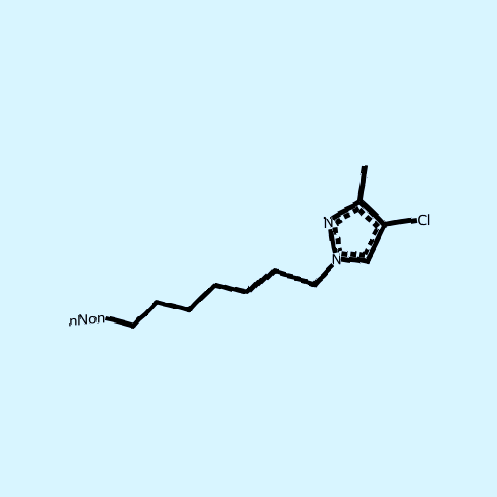 CCCCCCCCCCCCCCCCn1cc(Cl)c(C)n1